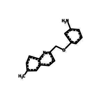 Cc1ccc2nc(COc3cccc(N)c3)ccc2c1